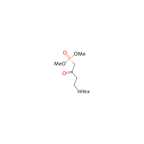 CCCCCCCCC(=O)CP(=O)(OC)OC